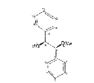 CO[C@@H](c1ccccc1)[C@@H](O)c1ccccc1